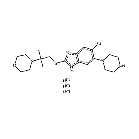 CC(C)(CSc1nc2cc(Cl)c(N3CCNCC3)cc2[nH]1)N1CCOCC1.Cl.Cl.Cl